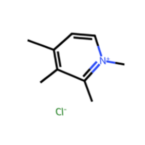 Cc1cc[n+](C)c(C)c1C.[Cl-]